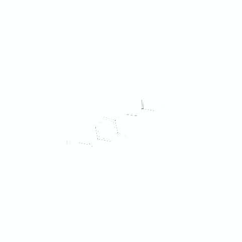 CNc1ccc(OCC(=O)OC)c(F)c1